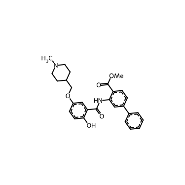 COC(=O)c1ccc(-c2ccccc2)cc1NC(=O)c1cc(OCC2CCN(C)CC2)ccc1O